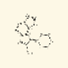 Nc1nc2cnc3[nH]ccc3c2n1N1CCCCC1